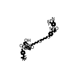 Cc1ncsc1-c1ccc(CNC(=O)[C@@H]2C[C@@H](O)CN2C(=O)[C@@H](NC(=O)CCCCCOCCCCCOc2ccc(N3C(=S)N(c4ccc(C#N)c(C(F)(F)F)c4)C(=O)C3(C)C)cc2)C(C)(C)C)cc1